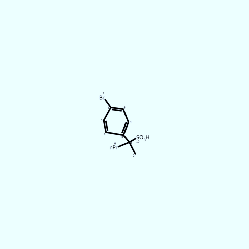 CCCC(C)(c1ccc(Br)cc1)S(=O)(=O)O